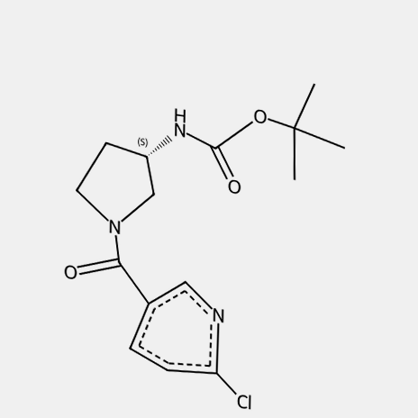 CC(C)(C)OC(=O)N[C@H]1CCN(C(=O)c2ccc(Cl)nc2)C1